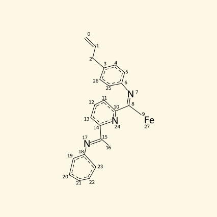 C=CCc1ccc(/N=C(/C)c2cccc(/C(C)=N/c3ccccc3)n2)cc1.[Fe]